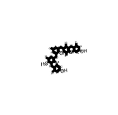 Cc1cc(Cc2cc(C)c(O)c(Cc3c(C)cc(O)cc3C)c2C)c(O)c(Cc2cc(C)c(O)c(Cc3c(C)cc(O)cc3C)c2C)c1